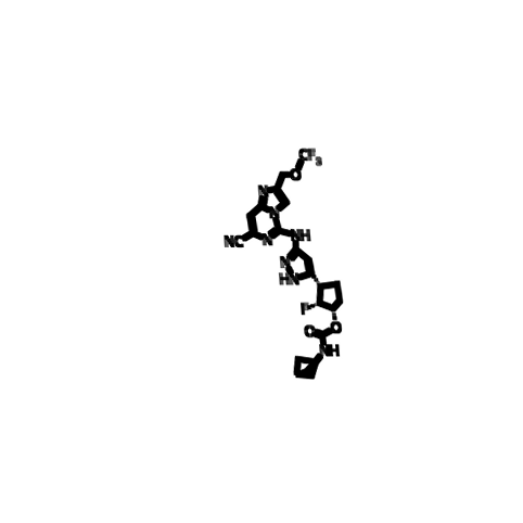 N#Cc1cc2nc(COC(F)(F)F)cn2c(Nc2cc([C@@H]3CC[C@H](OC(=O)NC45CC(C4)C5)[C@@H]3F)[nH]n2)n1